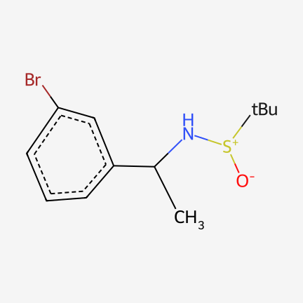 CC(N[S+]([O-])C(C)(C)C)c1cccc(Br)c1